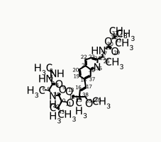 CNNC(=O)[C@H](C)NC(=O)[C@@H](OC(=O)[C@@](C)(/C=C/c1ccc2ccc([C@@H](C)NC(=O)OC(C)(C)C)nc2c1)COC)C(C)C